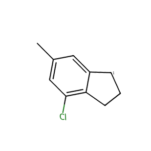 Cc1cc(Cl)c2c(c1)[C]CC2